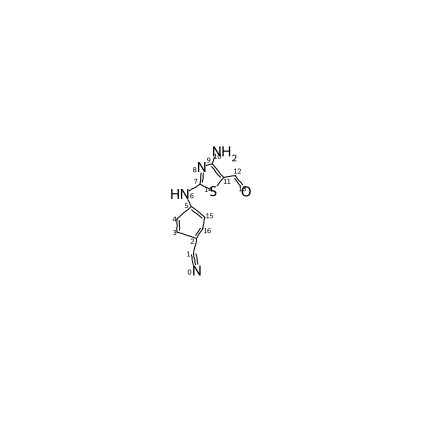 N#Cc1ccc(Nc2nc(N)c(C=O)s2)cc1